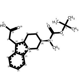 CN(C(=O)OC(C)(C)C)[C@@H]1CCc2c(CC(=O)O)c3ccccc3n2C1